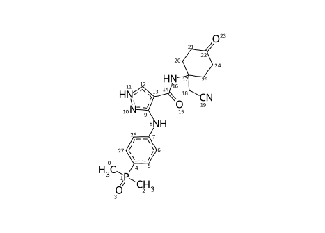 CP(C)(=O)c1ccc(Nc2n[nH]cc2C(=O)NC2(CC#N)CCC(=O)CC2)cc1